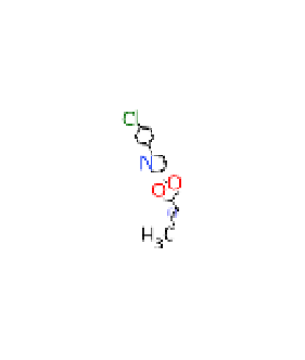 CC/C=C/[C@H]1CO[C@H](c2ccc(-c3ccc(Cl)cc3)nc2)OC1